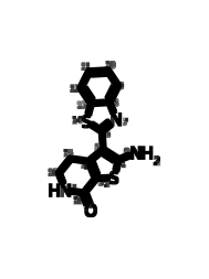 Nc1sc2c(c1-c1nc3ccccc3s1)CCNC2=O